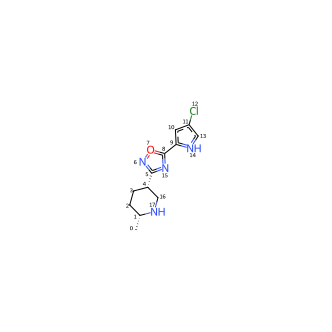 C[C@@H]1CC[C@H](c2noc(-c3cc(Cl)c[nH]3)n2)CN1